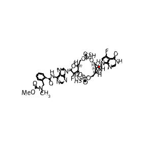 COC(=O)N(C)Cc1ccccc1C(=O)Nc1ncnc2c1ncn2[C@@H]1O[C@@H]2CO[P@@](=O)(S)O[C@@H]3[C@H](O)[C@@H](CO[P@@](=O)(S)O[C@H]2[C@H]1F)O[C@H]3n1cc(F)c2c(=O)[nH]cnc21